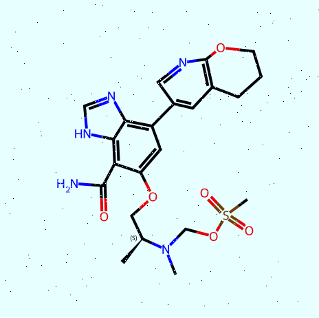 C[C@@H](COc1cc(-c2cnc3c(c2)CCCO3)c2nc[nH]c2c1C(N)=O)N(C)COS(C)(=O)=O